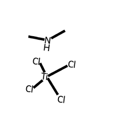 CNC.[Cl][Ti]([Cl])([Cl])[Cl]